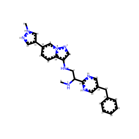 CNC(CNc1cnn2cc(-c3cnn(C)c3)ccc12)c1ncc(Cc2ccccc2)cn1